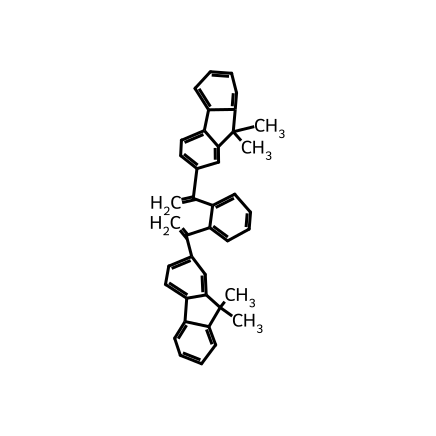 C=C(c1ccc2c(c1)C(C)(C)c1ccccc1-2)c1ccccc1C(=C)c1ccc2c(c1)C(C)(C)c1ccccc1-2